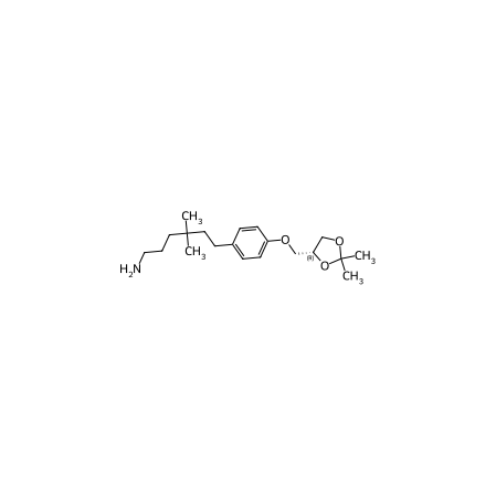 CC(C)(CCCN)CCc1ccc(OC[C@@H]2COC(C)(C)O2)cc1